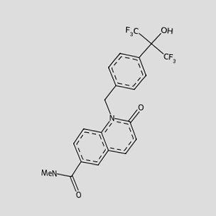 CNC(=O)c1ccc2c(ccc(=O)n2Cc2ccc(C(O)(C(F)(F)F)C(F)(F)F)cc2)c1